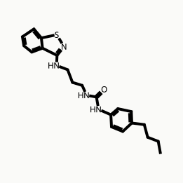 CCCCc1ccc(NC(=O)NCCCNc2nsc3ccccc23)cc1